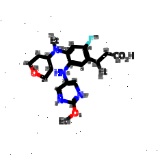 CCOc1ncc(Nc2cc(C(CC)CC(=O)O)c(F)cc2N(CC)C2CCOCC2)cn1